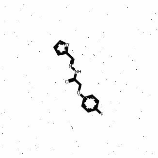 O=C(COc1ccc(F)cc1)N/N=C/c1ccco1